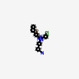 N#Cc1cccc(-c2ccc(-c3nc(-c4cccc(Cl)c4)nc(-c4ccc5c(c4)sc4c6ccccc6ccc54)n3)cc2)c1